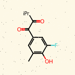 Cc1cc(C(=O)C(=O)C(C)C)cc(F)c1O